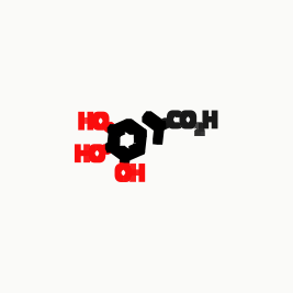 C=C(C)C(=O)O.Oc1cccc(O)c1O